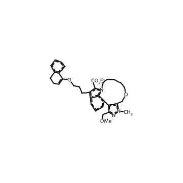 CCOC(=O)c1c(CCCOC2=CCCc3ccccc32)c2cccc3c2n1CCCCCOCc1c-3c(COC)nn1C